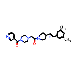 Cc1cc(C)cc(/C=C/C2CCN(C(=O)CN3CCN(C(=O)c4cccnc4)CC3)CC2)c1